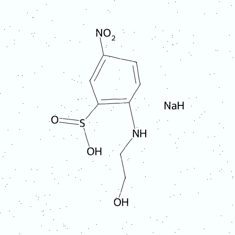 O=[N+]([O-])c1ccc(NCCO)c(S(=O)O)c1.[NaH]